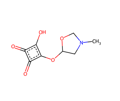 CN1COC(Oc2c(O)c(=O)c2=O)C1